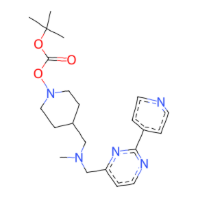 CN(Cc1ccnc(-c2ccncc2)n1)CC1CCN(OC(=O)OC(C)(C)C)CC1